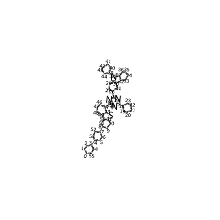 c1ccc(-c2ccc(-c3ccc4sc5c(-c6nc(-c7ccccc7)nc(-c7ccc8c(c7)c7ccccc7n8-c7ccccc7)n6)cccc5c4c3)cc2)cc1